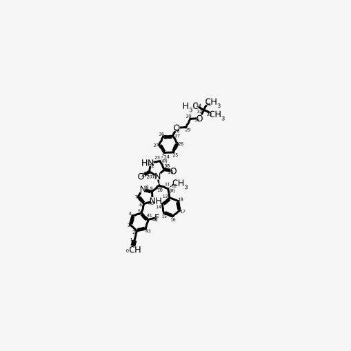 C#Cc1ccc(-c2cnc([C@H]([C@H](C)c3ccccc3)N3C(=O)N[C@H](c4ccc(OCCOC(C)(C)C)cc4)C3=O)[nH]2)c(F)c1